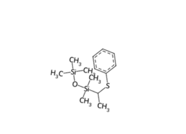 CC(Sc1ccccc1)[Si](C)(C)O[Si](C)(C)C